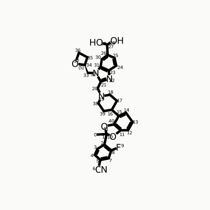 CC1(c2ccc(C#N)cc2F)Oc2cccc(C3CCN(Cc4nc5ccc(C(O)O)cc5n4C[C@@H]4CCO4)CC3)c2O1